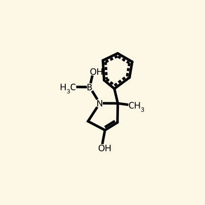 CB(O)N1CC(O)=CC1(C)c1ccccc1